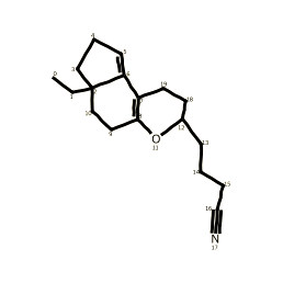 CCC12CCC=C1C1=C(CC2)OC(CCCC#N)CC1